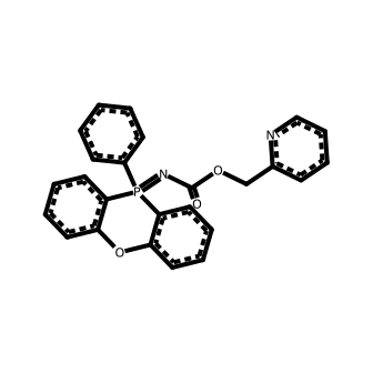 O=C(N=P1(c2ccccc2)c2ccccc2Oc2ccccc21)OCc1ccccn1